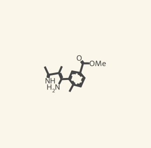 COC(=O)c1ccc(C)c(/C(N)=C(\C)C(C)=N)c1